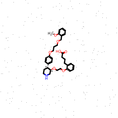 COc1ccccc1COCCCOc1ccc([C@H]2CCNC[C@@H]2OCCOc2ccccc2CCCC(=O)O)cc1